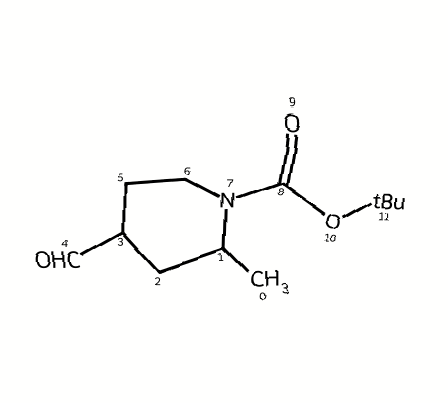 CC1CC(C=O)CCN1C(=O)OC(C)(C)C